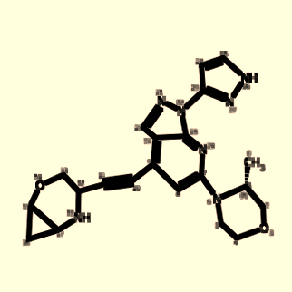 C[C@@H]1COCCN1c1cc(C#CC2COC3CC3N2)c2cnn(-c3cc[nH]n3)c2n1